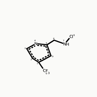 FC(F)(F)c1ccnc(CNCl)c1